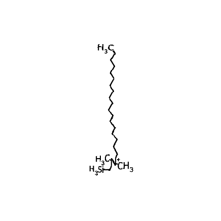 CCCCCCCCCCCCCCCCCC[N+](C)(C)C[SiH3]